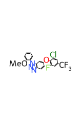 COc1ccccc1-n1nnc2ccc(Oc3c(F)cc(C(F)(F)F)cc3Cl)cc21